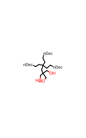 CCCCCCCCCCCCC(CCCCCCCCCCCC)(CCCCCCCCCCCC)CC(CO)(CO)CO